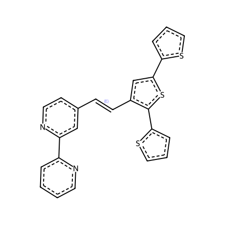 C(=C\c1cc(-c2cccs2)sc1-c1cccs1)/c1ccnc(-c2ccccn2)c1